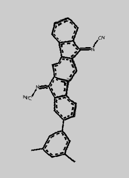 Cc1cc(C)cc(-c2ccc3c(c2)/c(=N\C#N)c2cc4c(cc23)/c(=N/C#N)c2ccccc24)c1